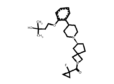 CC(C)(O)CCOc1ccccc1C1CCN([C@H]2CCC3(C2)CN(C(=O)C2(F)CC2)C3)CC1